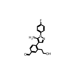 Nc1c(-c2ccc(C=O)cc2CCO)cnn1-c1ccc(F)cc1